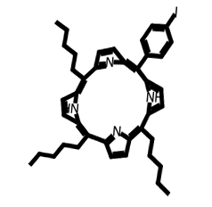 CCCCCc1c2nc(c(CCCCC)c3ccc([nH]3)c(-c3ccc(I)cc3)c3nc(c(CCCCC)c4ccc1[nH]4)C=C3)C=C2